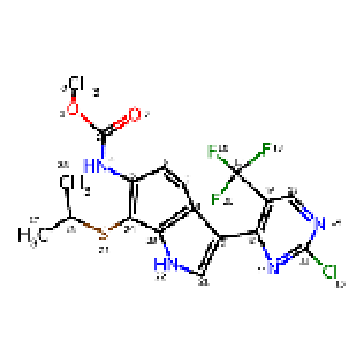 COC(=O)Nc1ccc2c(-c3nc(Cl)ncc3C(F)(F)F)c[nH]c2c1SC(C)C